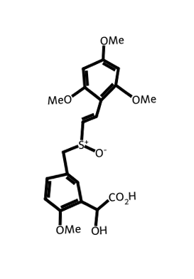 COc1cc(OC)c(/C=C/[S+]([O-])Cc2ccc(OC)c(C(O)C(=O)O)c2)c(OC)c1